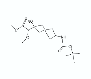 COC(=O)C(OC)C1(O)CC2(CC(NC(=O)OC(C)(C)C)C2)C1